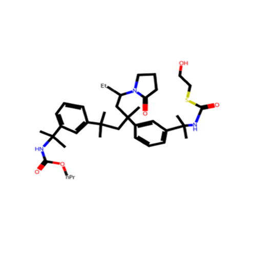 CCCOC(=O)NC(C)(C)c1cccc(C(C)(C)CC(C)(CC(CC)N2CCCC2=O)c2cccc(C(C)(C)NC(=O)SCCO)c2)c1